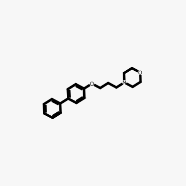 [c]1cc(-c2ccccc2)ccc1OCCCN1CCOCC1